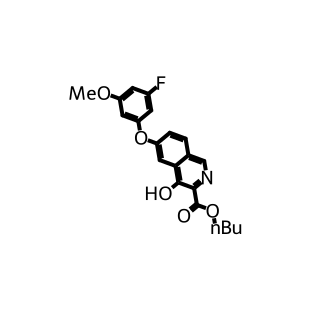 CCCCOC(=O)c1ncc2ccc(Oc3cc(F)cc(OC)c3)cc2c1O